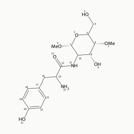 CO[C@@H]1OC(CO)[C@H](OC)[C@H](O)C1NC(=O)C(N)Cc1ccc(O)cc1